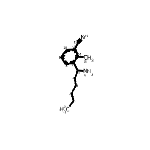 CCCCCC(N)c1cccc(C#N)c1C